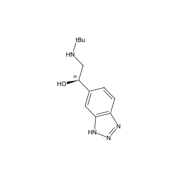 CC(C)(C)NC[C@H](O)c1ccc2nn[nH]c2c1